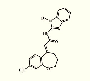 CCn1c(NC(=O)/C=C2\CCCOc3cc(C(F)(F)F)ccc32)nc2ccccc21